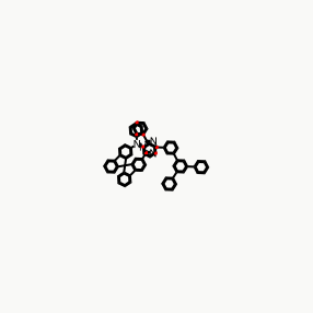 c1ccc(-c2cc(-c3ccccc3)cc(-c3cccc(-c4nc(-c5ccccc5)nc(-c5ccc6c(c5)C5(c7ccccc7-6)c6ccccc6-c6ccc(N(c7ccccc7)c7ccccc7)cc65)n4)c3)c2)cc1